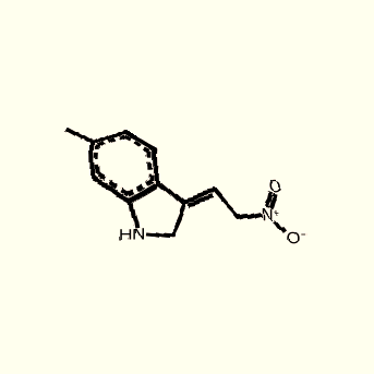 Cc1ccc2c(c1)NCC2=CC[N+](=O)[O-]